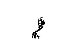 CCCC1CCC(CCCCC2CCC(c3ccc(C)c(C(F)F)c3F)CC2)CC1